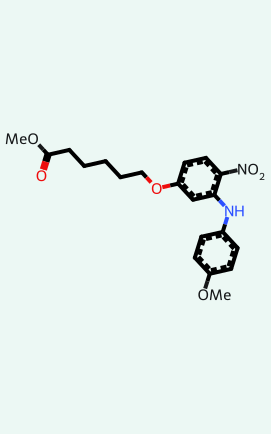 COC(=O)CCCCCOc1ccc([N+](=O)[O-])c(Nc2ccc(OC)cc2)c1